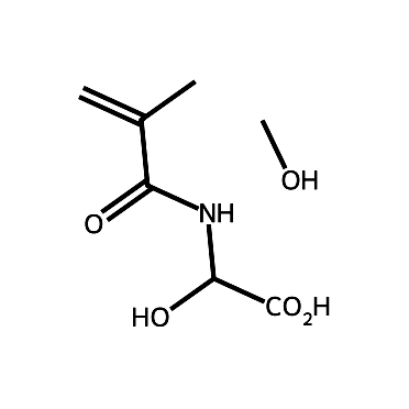 C=C(C)C(=O)NC(O)C(=O)O.CO